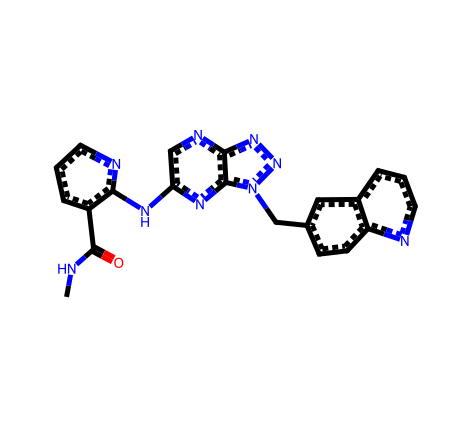 CNC(=O)c1cccnc1Nc1cnc2nnn(Cc3ccc4ncccc4c3)c2n1